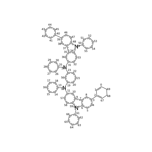 C1=CC(c2ccc3c(c2)c2cc(N(c4ccccc4)c4cccc(N(c5ccccc5)c5ccc6c(c5)c5cc(-c7ccccc7)ccc5n6-c5ccccc5)c4)ccc2n3-c2ccccc2)=CCC1